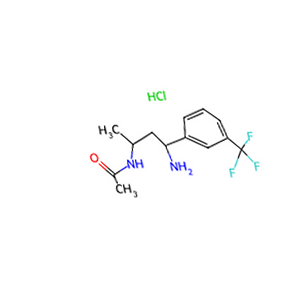 CC(=O)NC(C)CC(N)c1cccc(C(F)(F)F)c1.Cl